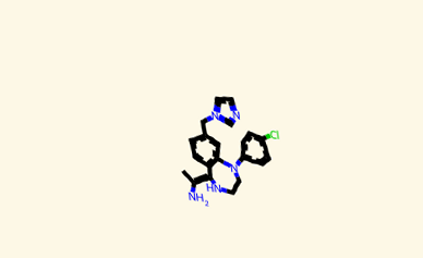 C/C(N)=C1/NCCN(c2ccc(Cl)cc2)c2cc(Cn3ccnc3)ccc21